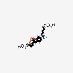 CCN(CCCCCC(=O)O)c1ccc2cc(-c3ccc(S(=O)(=O)O)s3)c(=O)oc2c1